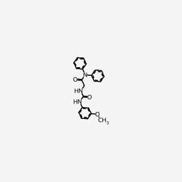 COc1cccc(NC(=O)NCC(=O)N(c2ccccc2)c2ccccc2)c1